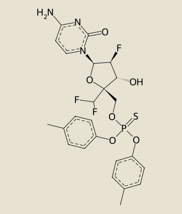 Cc1ccc(OP(=S)(OC[C@@]2(C(F)F)O[C@@H](n3ccc(N)nc3=O)[C@@H](F)[C@@H]2O)Oc2ccc(C)cc2)cc1